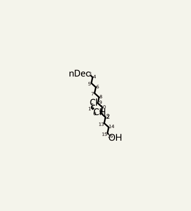 C=CCl.CCCCCCCCCCCCCCCCCCCCCCO